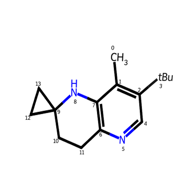 Cc1c(C(C)(C)C)cnc2c1NC1(CC2)CC1